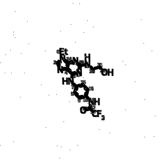 CCn1cnc2c(Nc3ccc(NC(=O)C(F)(F)F)cc3)nc(NCCO)nc21